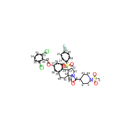 CS(=O)(=O)N1CCC(C(=O)N2CC[C@@]3(S(=O)(=O)c4ccc(F)cc4)c4ccc(OCc5c(Cl)cccc5Cl)cc4CC[C@@H]23)CC1